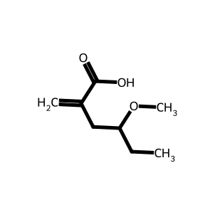 C=C(CC(CC)OC)C(=O)O